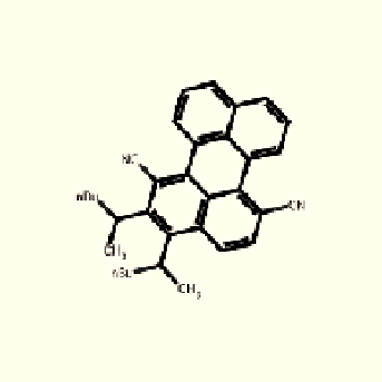 CCCCC(C)c1c(C(C)CCCC)c2ccc(C#N)c3c4cccc5cccc(c(c1C#N)c23)c54